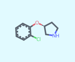 Clc1ccccc1O[C@H]1CCNC1